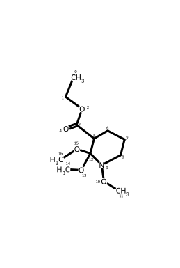 CCOC(=O)C1CCCN(OC)C1(OC)OC